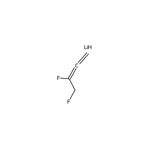 C=C=C(F)CF.[LiH]